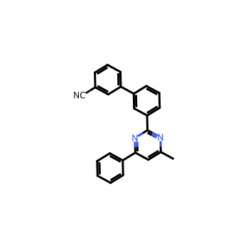 Cc1cc(-c2ccccc2)nc(-c2cccc(-c3cccc(C#N)c3)c2)n1